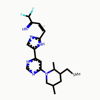 CSCC1CC(C)CN(c2cc(-c3cnc(/C=C\C(=N)C(F)F)[nH]3)ncn2)C1C